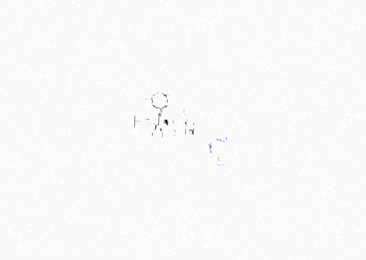 C\C=C/C=C(\C=C/C)CCN1CCC(N(C(=O)CC)c2ccccc2)CC1